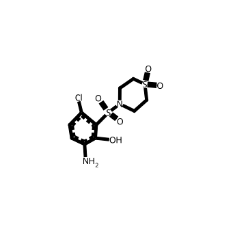 Nc1ccc(Cl)c(S(=O)(=O)N2CCS(=O)(=O)CC2)c1O